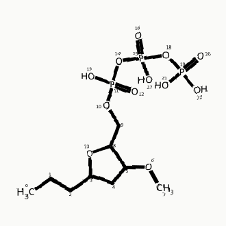 CCCC1CC(OC)C(COP(=O)(O)OP(=O)(O)OP(=O)(O)O)O1